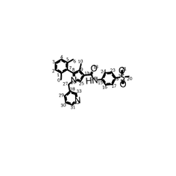 Cc1cccc(C)c1-c1c(C)c(C(=O)Nc2ccc(S(C)(=O)=O)cc2)cn1Cc1cccnc1